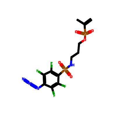 C=C(C)S(=O)(=O)OCCCNS(=O)(=O)c1c(F)c(F)c(N=[N+]=[N-])c(F)c1F